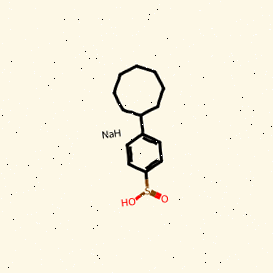 O=S(O)c1ccc(C2CCCCCCC2)cc1.[NaH]